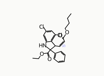 CCCCOC(=O)/C=C\C1c2c(Cl)cc(Cl)cc2NC1(C(=O)OCC)c1ccccc1